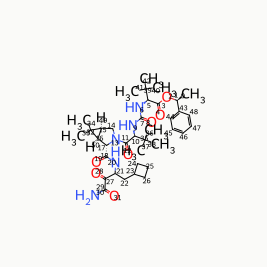 C[C@H](OC(=O)[C@@H](NC(=O)N[C@H](C(=O)N1C[C@H]2[C@@H]([C@H]1C(=O)NC(CC1CCC1)C(=O)C(N)=O)C2(C)C)C(C)(C)C)C(C)(C)C)c1ccccc1